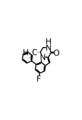 C[C@@H]1CNC(=O)c2cc3cc(F)cc(-c4ccccc4)c3n21